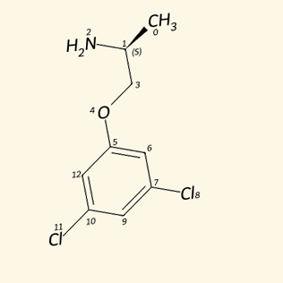 C[C@H](N)COc1cc(Cl)cc(Cl)c1